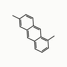 Cc1ccc2cc3c(C)cccc3cc2c1